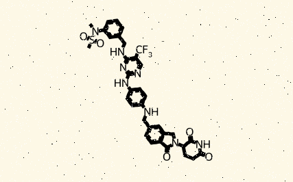 CN(c1cccc(CNc2nc(Nc3ccc(NCc4ccc5c(c4)CN(C4CCC(=O)NC4=O)C5=O)cc3)ncc2C(F)(F)F)c1)S(C)(=O)=O